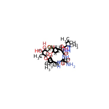 CN[C@H](CC(C)C)C(=O)NC1C(=O)N[C@@H](CC(N)=O)C(=O)N[C@@H](C)c2cc(C)c(O[C@@H]3O[C@H](CO)[C@@H](O)[C@H](O)[C@H]3C)c(c2)Oc2ccc(cc2Cl)[C@H]1O